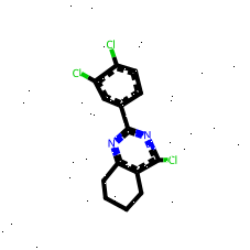 Clc1ccc(-c2nc(Cl)c3c(n2)CCCC3)cc1Cl